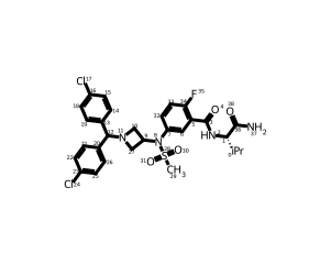 CC(C)[C@H](NC(=O)c1cc(N(C2CN(C(c3ccc(Cl)cc3)c3ccc(Cl)cc3)C2)S(C)(=O)=O)ccc1F)C(N)=O